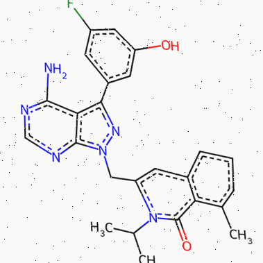 Cc1cccc2cc(Cn3nc(-c4cc(O)cc(F)c4)c4c(N)ncnc43)n(C(C)C)c(=O)c12